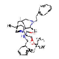 CC(C)(C)[Si](C)(C)OCCC1[C@@H]2C=N[C@@]3(C(=O)NCc4ccccc4)[C@@H](C2)CN(CCc2ccccc2)[C@@H]13